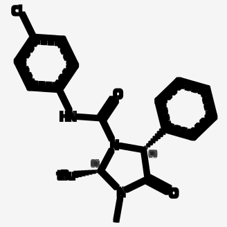 CN1C(=O)[C@@H](c2ccccc2)N(C(=O)Nc2ccc(Cl)cc2)[C@H]1C(C)(C)C